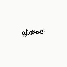 Cc1ccc(-c2ccc(-c3cn4c(n3)CCC(CNC(=O)c3ccccc3F)C4)cc2)cc1C